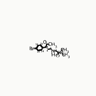 CC(=O)[C@H](CCNCC(=O)N(C)C)c1ccc(Br)cc1